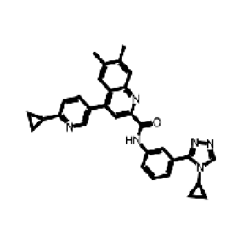 Cc1cc2nc(C(=O)Nc3cccc(-c4nncn4C4CC4)c3)cc(-c3ccc(C4CC4)nc3)c2cc1C